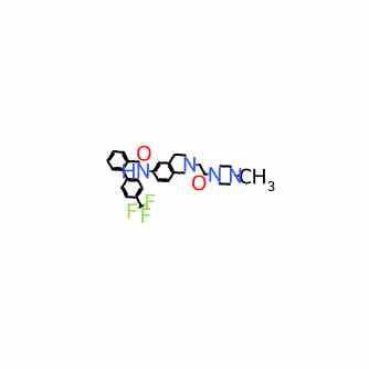 CN1CCN(C(=O)CN2CCc3cc(NC(=O)c4ccccc4-c4ccc(C(F)(F)F)cc4)ccc3C2)CC1